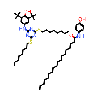 CCCCCCCCCCCCCCCCCC(=O)Nc1ccc(O)cc1.CCCCCCCCSc1nc(Nc2cc(C(C)(C)C)c(O)c(C(C)(C)C)c2)nc(SCCCCCCCC)n1